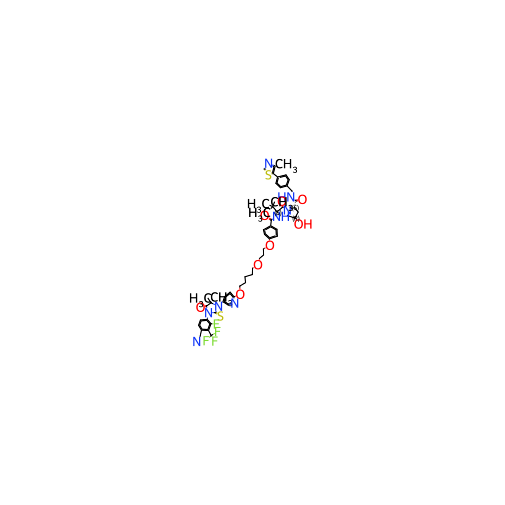 Cc1ncsc1-c1ccc(CNC(=O)[C@@H]2C[C@@H](O)CN2C(=O)[C@@H](NC(=O)c2ccc(OCCCOCCCCCOc3ccc(N4C(=S)N(c5ccc(C#N)c(C(F)(F)F)c5F)C(=O)C4(C)C)cn3)cc2)C(C)(C)C)cc1